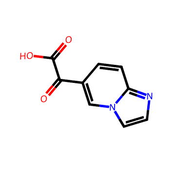 O=C(O)C(=O)c1ccc2nccn2c1